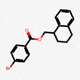 O=C(OCC1CCCc2ccccc21)c1ccc(Br)cc1